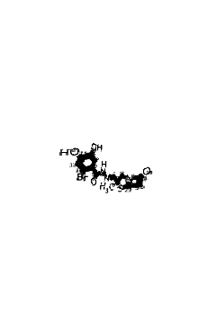 C[C@]1(/C=N/NC(=O)c2cc(O)c(O)cc2Br)CN2C(=O)CC2S1